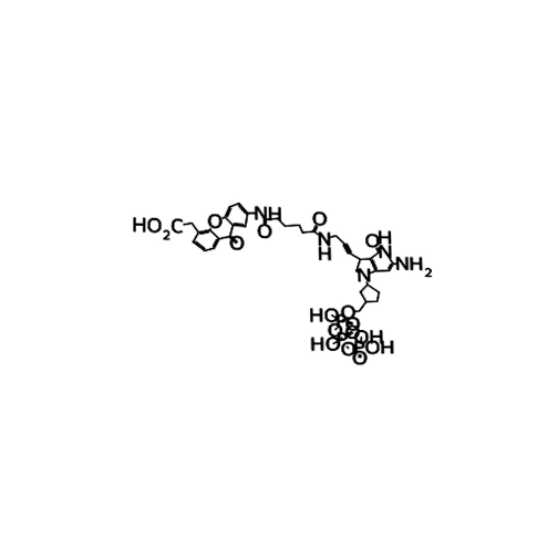 Nc1cc2c(c(=O)[nH]1)C(C#CCNC(=O)CCCCC(=O)Nc1ccc3oc4c(CC(=O)O)cccc4c(=O)c3c1)CN2C1CCC(COP(=O)(O)OP(=O)(O)OP(=O)(O)O)C1